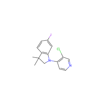 CC1(C)CN(c2ccncc2Cl)c2cc(I)ccc21